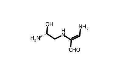 N/C=C(/C=O)NC[C@H](N)O